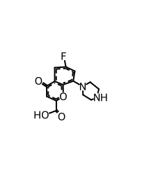 O=C(O)c1cc(=O)c2cc(F)cc(N3CCNCC3)c2o1